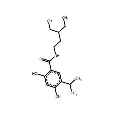 CCC(CO)CCNC(=O)c1cc(C(C)C)c(O)cc1O